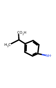 CC(C(=O)O)c1ccc([NH])cc1